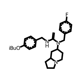 C=C(NCc1ccc(OCC(C)C)cc1)N(Cc1ccc(F)cc1)C1CCN2CCCC2C1